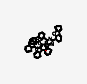 C#C/C=c1/cccc/c1=C(/C)n1c2ccccc2c2cccc(-n3c4c(c5cccc(-c6nc(-c7ccccc7)nc(-c7cccc8c7oc7ccccc78)n6)c53)C=CCC4)c21